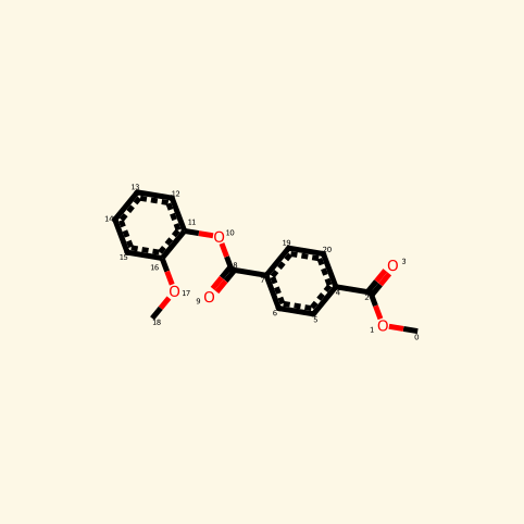 COC(=O)c1ccc(C(=O)Oc2ccccc2OC)cc1